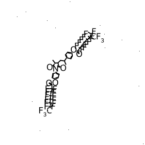 CC(CC1C(=O)N(c2ccc(OC(=O)C(F)(F)C(F)(F)C(F)(F)C(F)(F)C(F)(F)C(F)(F)C(F)(F)F)cc2)C(=O)C1C)c1ccc(OC(=O)C(F)(F)C(F)(F)C(F)(F)C(F)(F)C(F)(F)C(C)(F)C(F)(F)F)cc1